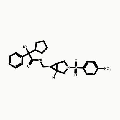 O=C(NC[C@H]1C2CN(S(=O)(=O)c3ccc([N+](=O)[O-])cc3)C[C@@H]21)C(O)(c1ccccc1)C1CCCC1